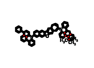 CC(C)(C)C1=CC=C(c2ccccc2N(C2=Cc3cc4oc5cc6cc(N(c7ccc(-c8ccccc8)cc7)c7ccccc7-c7ccccc7)ccc6cc5c4cc3CC#C2)c2cccc(-c3ccccc3)c2)CC1